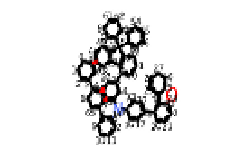 c1ccc(-c2ccc(-c3ccccc3N(c3ccc(-c4cccc5oc6ccccc6c45)cc3)c3cccc(-c4cccc5c4-c4ccccc4C5(c4ccccc4)c4ccccc4)c3)cc2)cc1